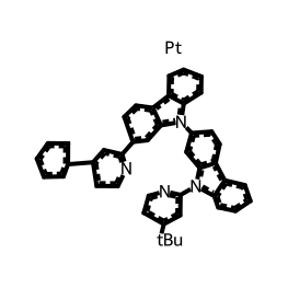 CC(C)(C)c1ccnc(-n2c3ccccc3c3ccc(-n4c5ccccc5c5ccc(-c6cc(-c7ccccc7)ccn6)cc54)cc32)c1.[Pt]